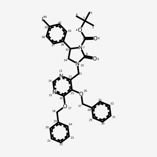 CC(C)(C)OC(=O)N1C(=O)N(Cc2ncnc(OCc3ccccc3)c2OCc2ccccc2)CC1c1ccc(I)cc1